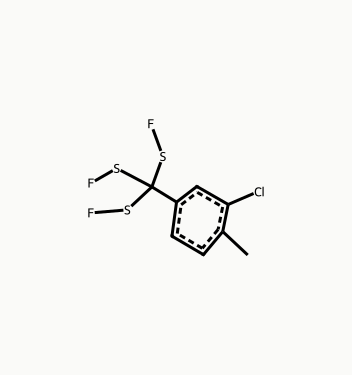 Cc1ccc(C(SF)(SF)SF)cc1Cl